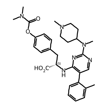 Cc1ccccc1-c1cnc(N(C)C2CCN(C)CC2)nc1N[C@@H](Cc1ccc(OC(=O)N(C)C)cc1)C(=O)O